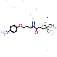 CC(C)(C)CCC(=O)NCCCOc1ccc(N)cc1